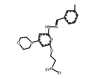 CCN(CC)CCOc1cc(N2CCOCC2)cc(N/N=C/c2cccc(C)c2)n1